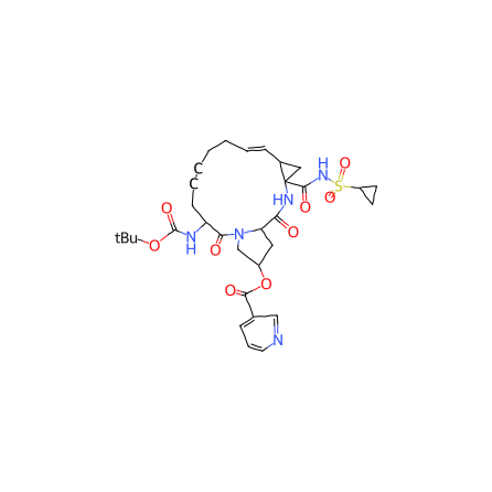 CC(C)(C)OC(=O)NC1CCCCC/C=C/C2CC2(C(=O)NS(=O)(=O)C2CC2)NC(=O)C2CC(OC(=O)c3cccnc3)CN2C1=O